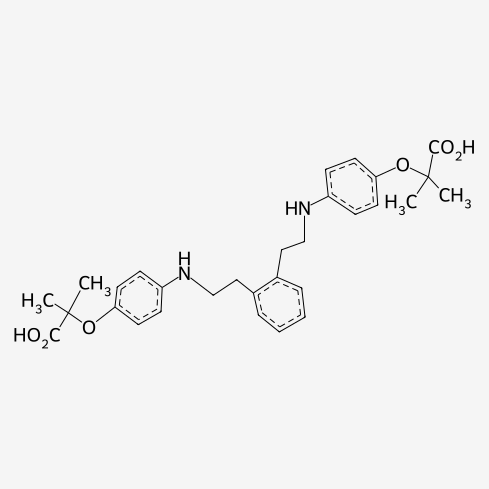 CC(C)(Oc1ccc(NCCc2ccccc2CCNc2ccc(OC(C)(C)C(=O)O)cc2)cc1)C(=O)O